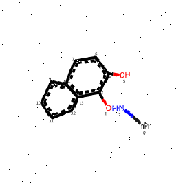 CCCNOc1c(O)ccc2ccccc12